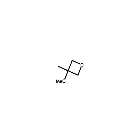 COC1(C)COC1